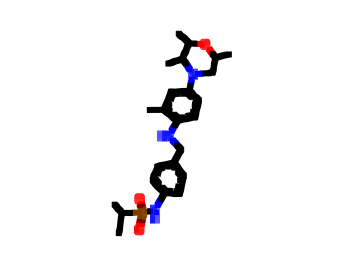 Cc1cc(N2CC(C)OC(C)C2C)ccc1NCc1ccc(NS(=O)(=O)C(C)C)cc1